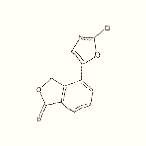 O=C1OCc2c1cccc2-c1cnc(Cl)o1